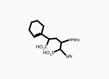 CCCCCCC(CC(C(=O)O)C1=CCCCC1)C(CCC)S(=O)(=O)O